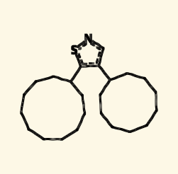 c1nsc(C2CCCCCCCCCC2)c1C1CCCCCCCCC1